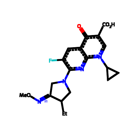 CCC1CN(c2nc3c(cc2F)c(=O)c(C(=O)O)cn3C2CC2)C/C1=N\OC